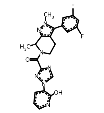 C[C@H]1c2nn(C)c(-c3cc(F)cc(F)c3)c2CCN1C(=O)c1ncn(-c2cccnc2O)n1